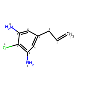 C=CCc1cc(N)c(Cl)c(N)c1